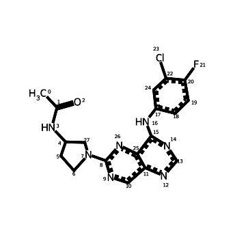 CC(=O)NC1CCN(c2ncc3ncnc(Nc4ccc(F)c(Cl)c4)c3n2)C1